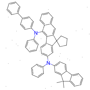 CC1(C)c2ccccc2-c2ccc(N(c3ccccc3)c3ccc4c(c3)C3(CCCC3)c3cc5ccccc5c(N(c5ccccc5)c5ccc(-c6ccccc6)cc5)c3-4)cc21